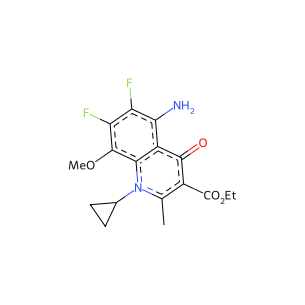 CCOC(=O)c1c(C)n(C2CC2)c2c(OC)c(F)c(F)c(N)c2c1=O